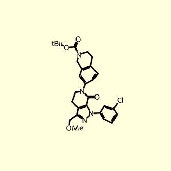 COCc1nn(-c2cccc(Cl)c2)c2c1CCN(c1ccc3c(c1)CN(C(=O)OC(C)(C)C)CC3)C2=O